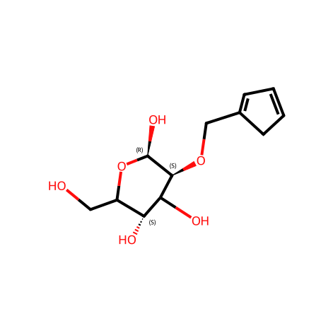 OCC1O[C@@H](O)[C@@H](OCC2=CC=CC2)C(O)[C@@H]1O